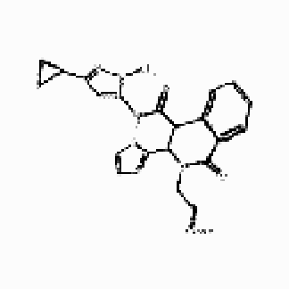 COCCN1C(=O)c2ccccc2C(C(=O)Nc2cc(C3CC3)nn2C)C1c1cccs1